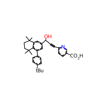 CC(C)(C)c1ccc(-c2cc(C(O)C#Cc3ccc(C(=O)O)cn3)cc3c2C(C)(C)CCC3(C)C)cc1